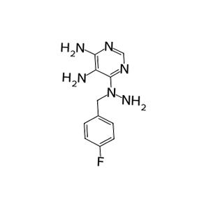 Nc1ncnc(N(N)Cc2ccc(F)cc2)c1N